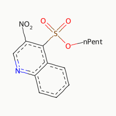 CCCCCOS(=O)(=O)c1c([N+](=O)[O-])cnc2ccccc12